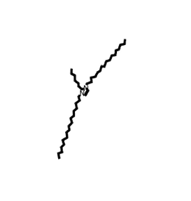 CCCCCCCCCCCCCCCCCCN1C=CN(CCCCCCCCCCCCCCCCC)C1CCCCCC